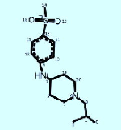 C[C](C)CN1CCC(Nc2ccc(S(C)(=O)=O)cc2)CC1